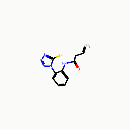 C=CCC(=O)Nc1ccccc1-n1nnnc1S